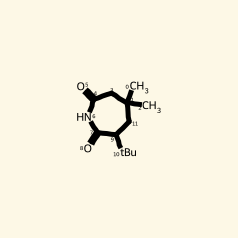 CC1(C)CC(=O)NC(=O)C(C(C)(C)C)C1